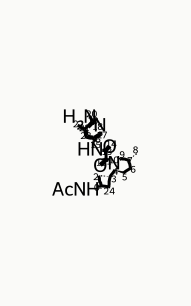 CC(=O)N[C@H]1C[C@H]([C@@H]2CC[C@@H](C)CN2C(=O)C(=O)Nc2cnc(N)c(C)c2)C1